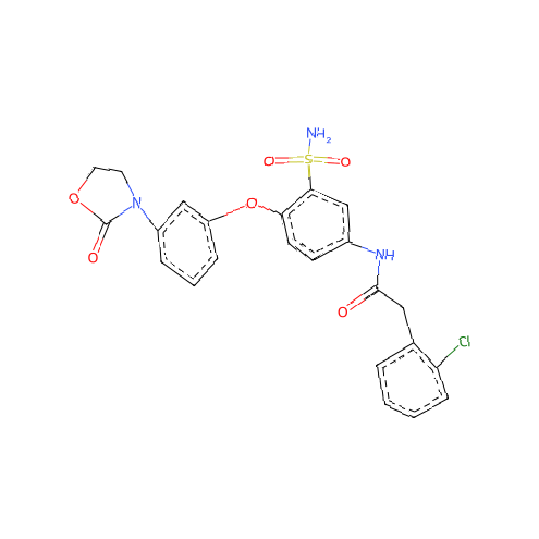 NS(=O)(=O)c1cc(NC(=O)Cc2ccccc2Cl)ccc1Oc1cccc(N2CCOC2=O)c1